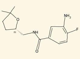 CC1(C)CC[C@@H](CNC(=O)c2ccc(F)c(N)c2)O1